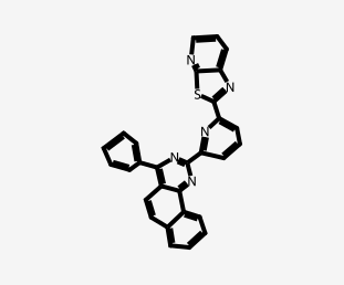 c1ccc(-c2nc(-c3cccc(-c4nc5cccnc5s4)n3)nc3c2ccc2ccccc23)cc1